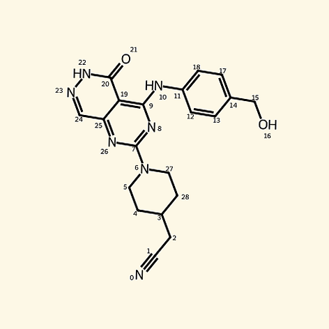 N#CCC1CCN(c2nc(Nc3ccc(CO)cc3)c3c(=O)[nH]ncc3n2)CC1